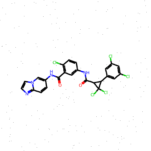 O=C(Nc1ccc2nccn2c1)c1cc(NC(=O)C2C(c3cc(Cl)cc(Cl)c3)C2(Cl)Cl)ccc1Cl